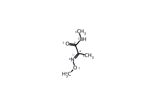 CBC(=O)/C(C)=N/OC